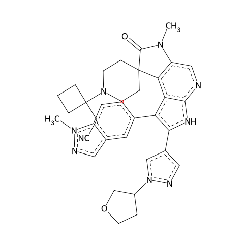 CN1C(=O)C2(CCN(C3(CC#N)CCC3)CC2)c2c1cnc1[nH]c(-c3cnn(C4CCOC4)c3)c(-c3ccc4c(cnn4C)c3)c21